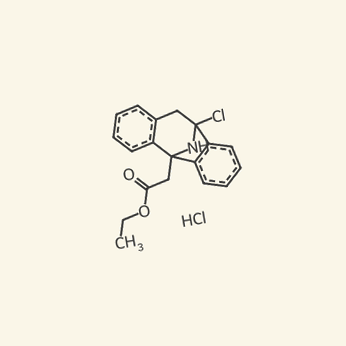 CCOC(=O)CC12NC(Cl)(Cc3ccccc31)c1ccccc12.Cl